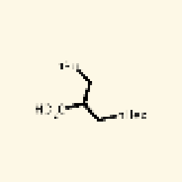 CCCCCCCC(CC(C)(C)C)C(=O)O